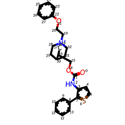 O=C(Nc1ccsc1-c1ccccc1)OCC1C[N+]2(CCOc3ccccc3)CCC1CC2